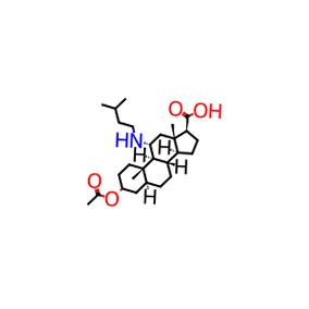 CC(=O)O[C@@H]1CC[C@@]2(C)[C@@H](CC[C@@H]3[C@@H]2[C@H](NCCC(C)C)C[C@]2(C)[C@@H](C(=O)O)CC[C@@H]32)C1